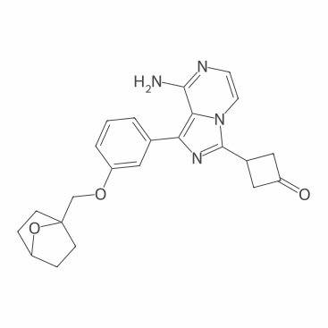 Nc1nccn2c(C3CC(=O)C3)nc(-c3cccc(OCC45CCC(CC4)O5)c3)c12